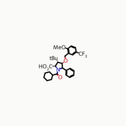 COc1ccc(C(F)(F)F)cc1CO[C@H]1C(c2ccccc2)N(C(=O)C2CCCCC2)[C@@H](C(=O)O)[C@@H]1C(C)(C)C